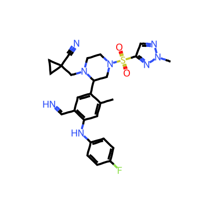 Cc1cc(Nc2ccc(F)cc2)c(C=N)cc1C1CN(S(=O)(=O)c2cnn(C)n2)CCN1CC1(C#N)CC1